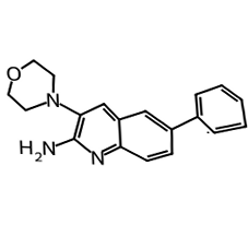 Nc1nc2ccc(-c3[c]cccc3)cc2cc1N1CCOCC1